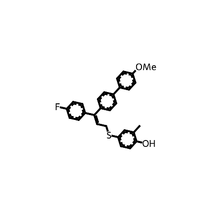 COc1ccc(-c2ccc(/C(=C\CSc3ccc(O)c(C)c3)c3ccc(F)cc3)cc2)cc1